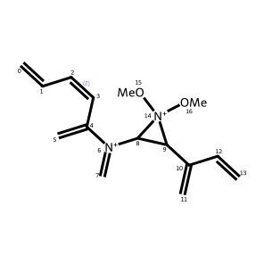 C=C/C=C\C(=C)[N+](=C)C1C(C(=C)C=C)[N+]1(OC)OC